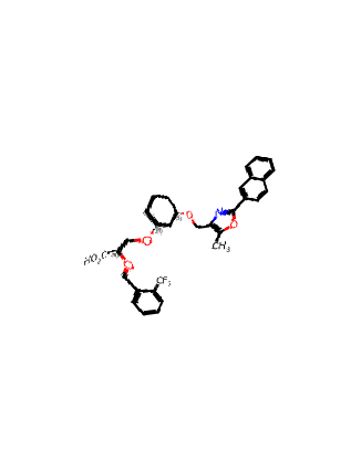 Cc1oc(-c2ccc3ccccc3c2)nc1CO[C@H]1CCC[C@@H](OC[C@@H](OCc2ccccc2C(F)(F)F)C(=O)O)C1